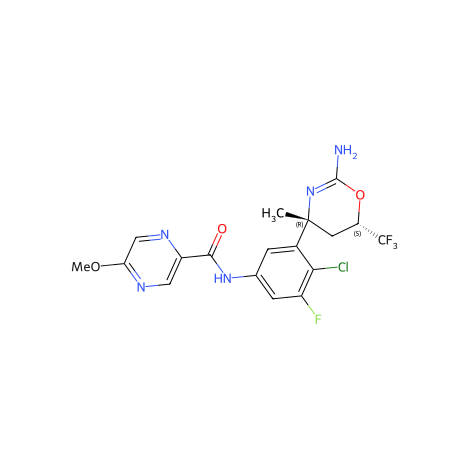 COc1cnc(C(=O)Nc2cc(F)c(Cl)c([C@@]3(C)C[C@@H](C(F)(F)F)OC(N)=N3)c2)cn1